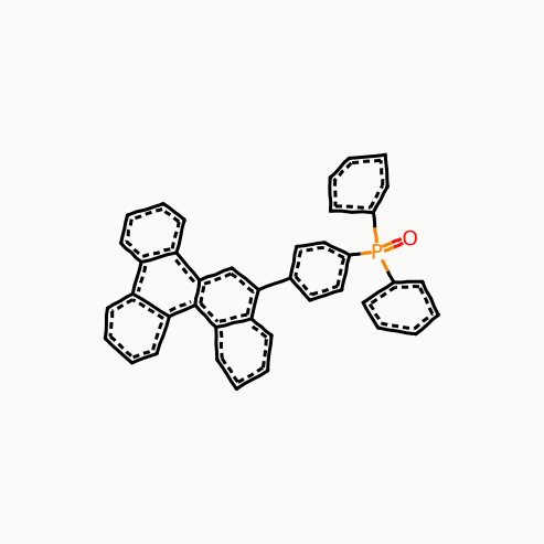 O=P(c1ccccc1)(c1ccccc1)c1ccc(-c2cc3c4ccccc4c4ccccc4c3c3ccccc23)cc1